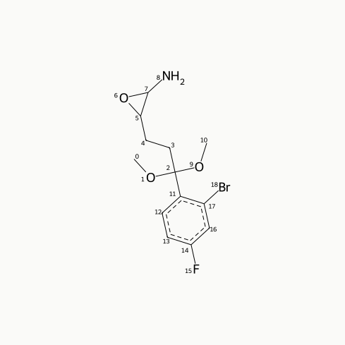 COC(CCC1OC1N)(OC)c1ccc(F)cc1Br